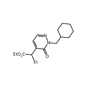 CCOC(=O)C(CC)c1ccnn(CC2CCCCC2)c1=O